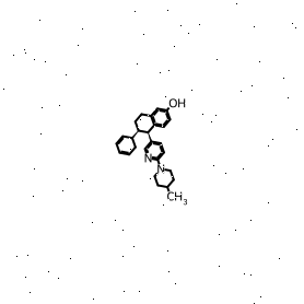 CC1CCN(c2ccc([C@@H]3c4ccc(O)cc4CC[C@@H]3C3C=CC=CC3)cn2)CC1